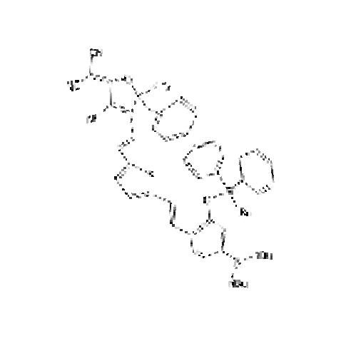 CCCCN(CCCC)c1ccc(C=Cc2ccc(C=CC3=C(C#N)C(=C(C#N)C#N)OC3(c3ccccc3)C(F)(F)F)s2)c(O[Si](c2ccccc2)(c2ccccc2)C(C)(C)C)c1